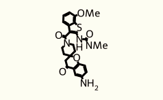 CNC(=O)Nc1sc2c(OC)cccc2c1C(=O)N1CCC2(CC1)CC(=O)c1cc(N)ccc1O2